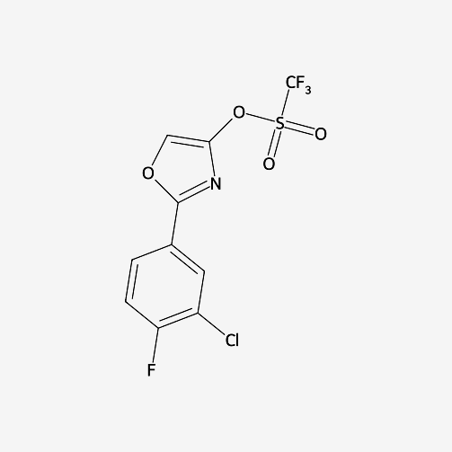 O=S(=O)(Oc1coc(-c2ccc(F)c(Cl)c2)n1)C(F)(F)F